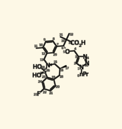 CCCn1cc(CO[C@H](c2ccc(C)c(CN3C[C@@H](C)Cc4ccc(F)cc4S3(O)O)c2)C(C)(C)C(=O)O)nn1